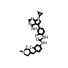 CN1CCC(=Cc2ccc(NC(=O)Nc3ccc(-c4cn(C5CC5)c5ncnc(N)c45)cc3F)cc2C(F)(F)F)CC1